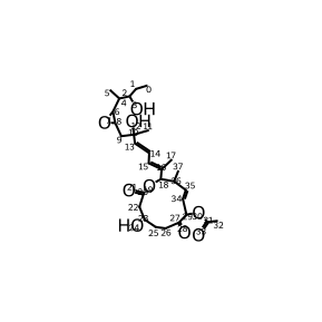 CCC(O)C(C)C1OC1CC(C)(O)/C=C/C=C(\C)C1OC(=O)CC(O)CCC(=O)C(OC(C)=O)/C=C/C1C